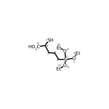 CCO[Si](CCCC(S)C(=O)O)(OCC)OCC